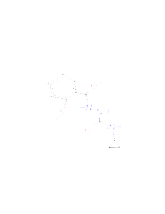 COc1ccccc1C(=O)NNC(=O)NC1CC1